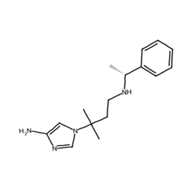 C[C@@H](NCCC(C)(C)n1cnc(N)c1)c1ccccc1